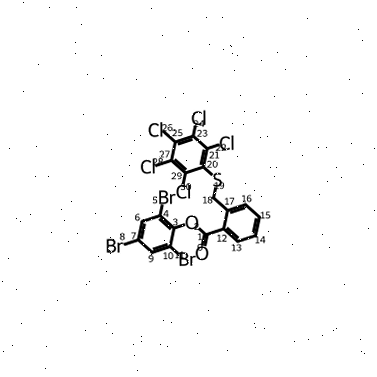 O=C(Oc1c(Br)cc(Br)cc1Br)c1ccccc1CSc1c(Cl)c(Cl)c(Cl)c(Cl)c1Cl